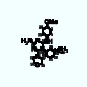 COc1ccc(NC2N=C(N)N=C(N3CCOCC3)N2c2cccc(C)c2)cc1.Cl